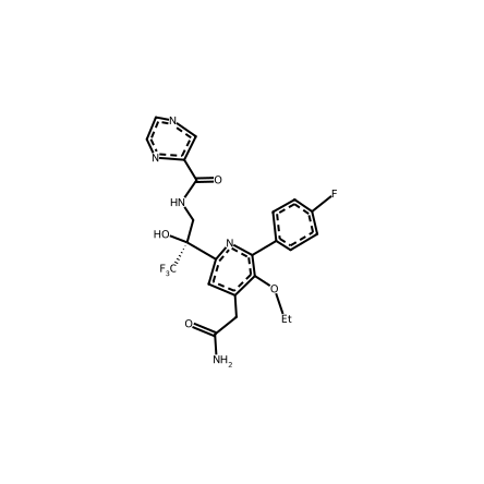 CCOc1c(CC(N)=O)cc([C@@](O)(CNC(=O)c2cnccn2)C(F)(F)F)nc1-c1ccc(F)cc1